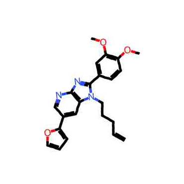 C=CCCCn1c(-c2ccc(OC)c(OC)c2)nc2ncc(-c3ccco3)cc21